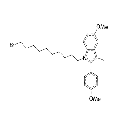 COc1ccc(-c2c(C)c3cc(OC)ccc3n2CCCCCCCCCCBr)cc1